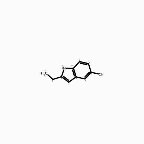 [CH2]Cc1cc2cc(Cl)ccc2[nH]1